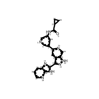 O=C(Nc1cncc(-c2cc3c(-c4nc5cccnc5[nH]4)n[nH]c3cn2)c1)C1CC1